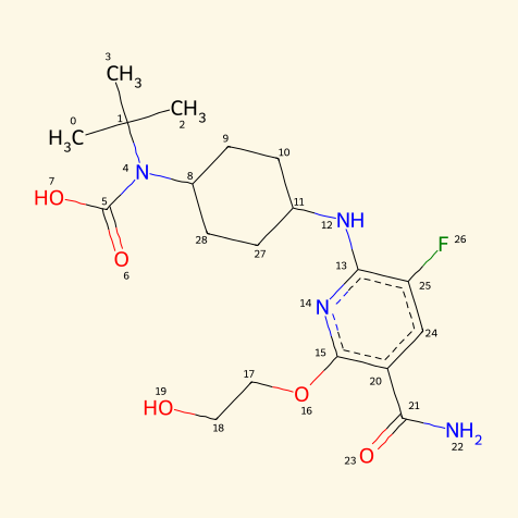 CC(C)(C)N(C(=O)O)C1CCC(Nc2nc(OCCO)c(C(N)=O)cc2F)CC1